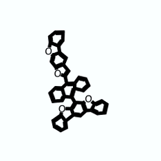 c1ccc2c(c1)oc1cc3oc(-c4c5ccccc5c(-c5c6oc7ccccc7c6cc6c5oc5ccccc56)c5ccccc45)cc3cc12